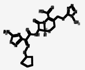 Cn1nnnc1SCC1=C(C(=O)O)N2C(=O)C(NC(=O)C(=NOC3CCCC3)c3nsc(N)n3)[C@@H]2SC1